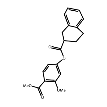 COC(=O)c1ccc(OC(=O)C2CCc3ccccc3C2)cc1OC